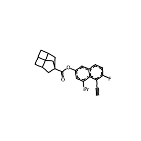 C#Cc1c(F)ccc2cc(OC(=O)C34CC5CC6CC(C3)C65C4)cc(C(C)C)c12